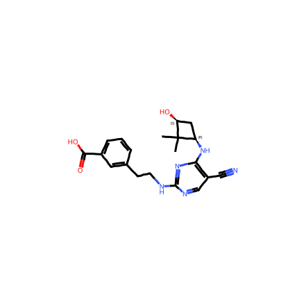 CC1(C)[C@@H](O)C[C@H]1Nc1nc(NCCc2cccc(C(=O)O)c2)ncc1C#N